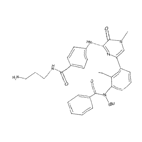 Cc1c(-c2cn(C)c(=O)c(Nc3ccc(C(=O)NCCCN)cc3)n2)cccc1N(C(=O)c1ccccc1)C(C)(C)C